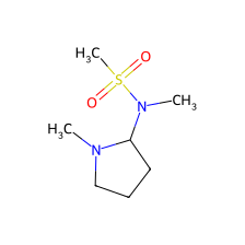 CN1CCCC1N(C)S(C)(=O)=O